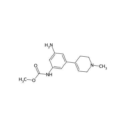 COC(=O)Nc1cc(N)cc(C2=CCN(C)CC2)c1